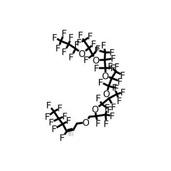 F/C(=C/COCC(F)(OC(F)(F)C(F)(OC(F)(F)C(F)(OC(F)(F)C(F)(OC(F)(F)C(F)(OC(F)(F)C(F)(F)C(F)(F)F)C(F)(F)F)C(F)(F)F)C(F)(F)F)C(F)(F)F)C(F)(F)F)C(F)(F)C(F)(F)C(F)(F)F